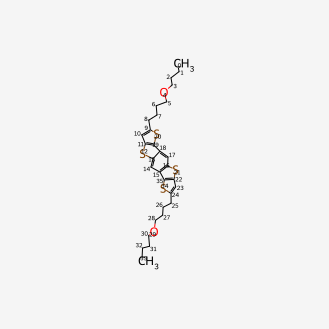 CCCCOCCCCc1cc2sc3cc4c(cc3c2s1)sc1cc(CCCCOCCCC)sc14